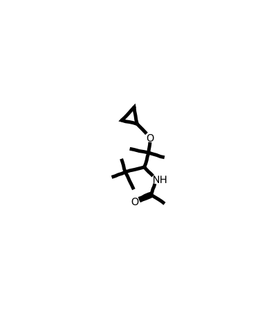 CC(=O)NC(C(C)(C)C)C(C)(C)OC1CC1